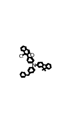 CC1(C)c2ccccc2-c2ccc(N(c3ccc(Cc4ccccc4)cc3)c3ccc4c(c3)oc3cc5ccccc5c(Cl)c34)cc21